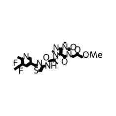 COCC(=O)Cn1c(=O)c2c(ncn2[C@@H](C)C(=O)Nc2csc(-c3cnc(C)c(C(C)(F)F)c3)n2)n(C)c1=O